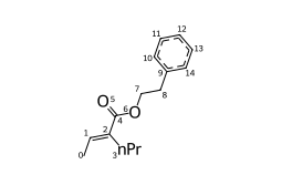 C/C=C(\CCC)C(=O)OCCc1ccccc1